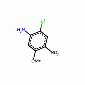 COc1cc(N)c(Cl)cc1[N+](=O)[O-]